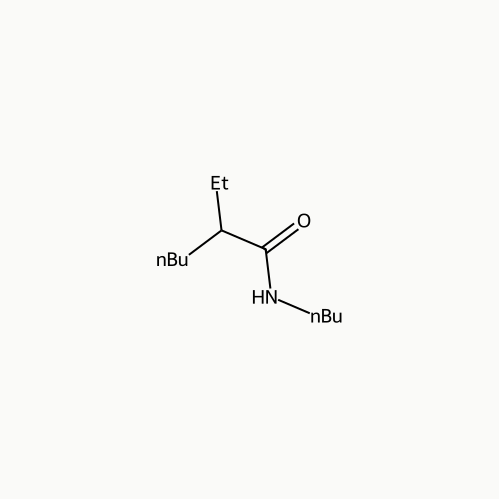 CCCCNC(=O)C(CC)CCCC